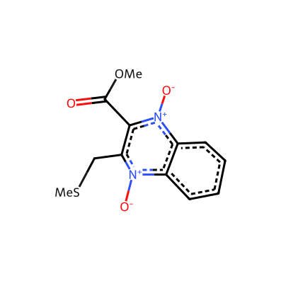 COC(=O)c1c(CSC)[n+]([O-])c2ccccc2[n+]1[O-]